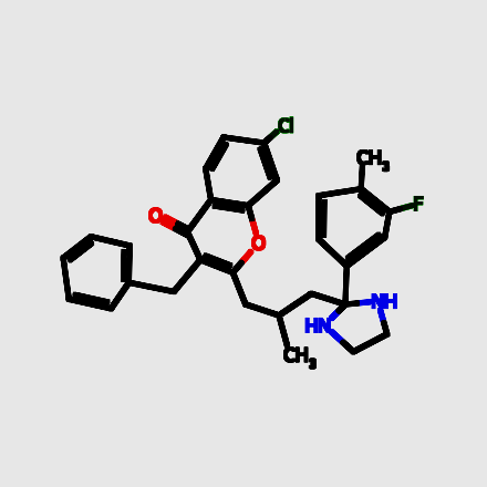 Cc1ccc(C2(CC(C)Cc3oc4cc(Cl)ccc4c(=O)c3Cc3ccccc3)NCCN2)cc1F